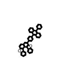 c1ccc(-c2c3ccccc3c(-c3ccc(-c4cc5ccc6oc7ccccc7c6c5c5c4oc4ccccc45)cc3)c3ccccc23)cc1